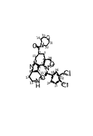 O=C(C1CC2=C(c3c4c(nn3C1)CCNC4)N(C(=O)c1ccc(Cl)c(Cl)c1)OC2)N1CCOCC1